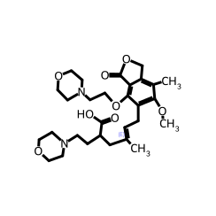 COc1c(C)c2c(c(OCCN3CCOCC3)c1C/C=C(\C)CC(CCN1CCOCC1)C(=O)O)C(=O)OC2